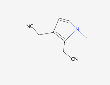 Cn1ccc(CC#N)c1CC#N